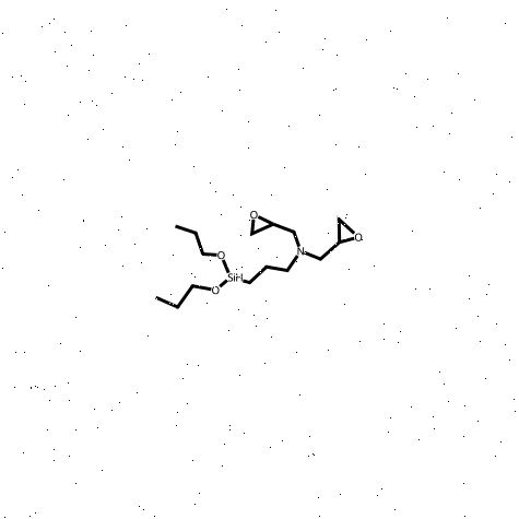 CCCO[SiH](CCCN(CC1CO1)CC1CO1)OCCC